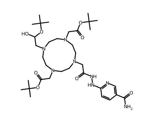 CC(C)(C)OC(=O)CN1CCN(CC(=O)NNc2ccc(C(N)=O)cn2)CCN(CC(=O)OC(C)(C)C)CCN(CC(O)OC(C)(C)C)CC1